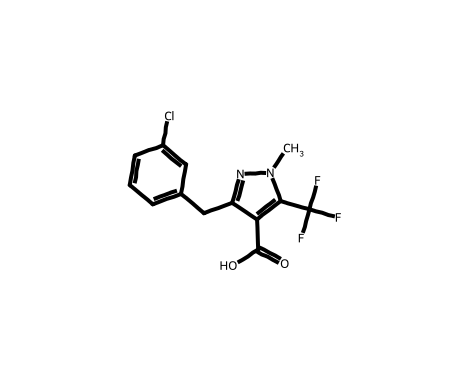 Cn1nc(Cc2cccc(Cl)c2)c(C(=O)O)c1C(F)(F)F